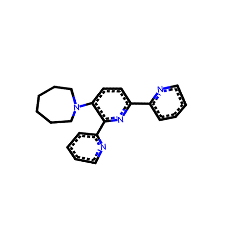 c1ccc(-c2ccc(N3CCCCCC3)c(-c3ccccn3)n2)nc1